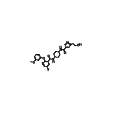 CSc1cccc(Oc2ncc(F)cc2C(=O)NC2CCC(NC(=O)c3cnn(CCO)c3)CC2)c1